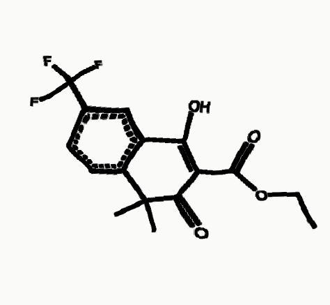 CCOC(=O)C1=C(O)c2cc(C(F)(F)F)ccc2C(C)(C)C1=O